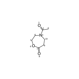 CC(=O)N1CCOC(=O)CC1